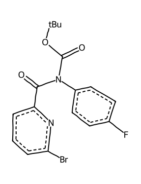 CC(C)(C)OC(=O)N(C(=O)c1cccc(Br)n1)c1ccc(F)cc1